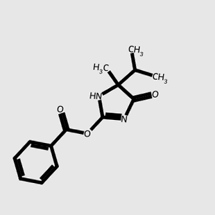 CC(C)C1(C)NC(OC(=O)c2ccccc2)=NC1=O